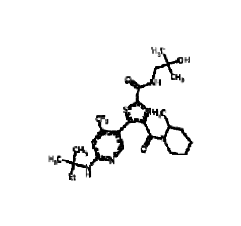 CCC(C)(C)Nc1cc(C(F)(F)F)c(-c2sc(C(=O)NCC(C)(C)O)nc2C(=O)N2CCCCC2C)cn1